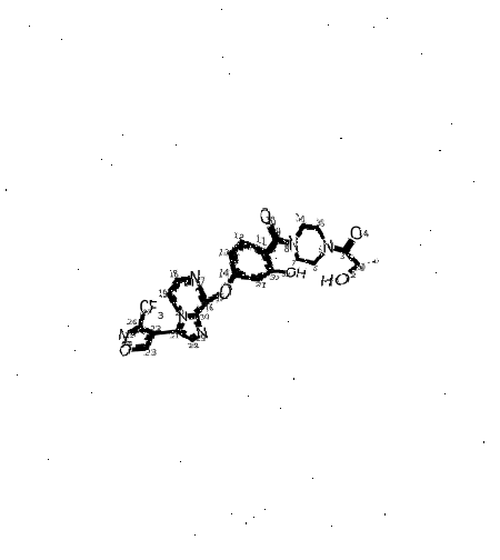 C[C@H](O)C(=O)N1CCN(C(=O)c2ccc(Oc3nccn4c(-c5conc5C(F)(F)F)cnc34)cc2O)CC1